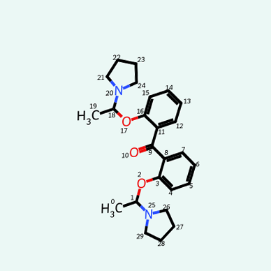 CC(Oc1ccccc1C(=O)c1ccccc1OC(C)N1CCCC1)N1CCCC1